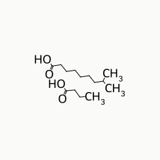 CC(C)CCCCCCC(=O)O.CCCC(=O)O